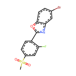 CS(=O)(=O)c1ccc(-c2nc3cc(Br)ccc3o2)c(F)c1